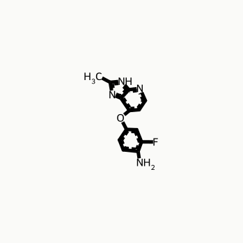 Cc1nc2c(Oc3ccc(N)c(F)c3)ccnc2[nH]1